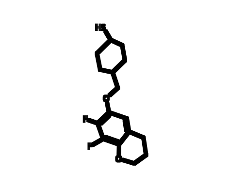 Fc1c(OCC2CCC(S)CC2)cc2c(c1F)OCCC2